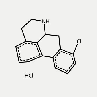 Cl.Clc1cccc2c1CC1NCCc3cccc-2c31